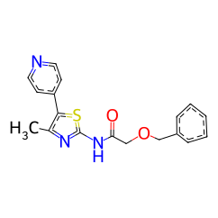 Cc1nc(NC(=O)COCc2ccccc2)sc1-c1ccncc1